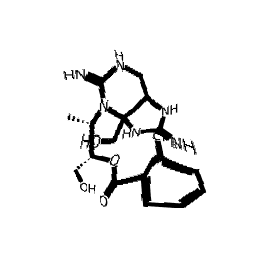 C[C@@H]([C@@H](CO)OC(=O)c1ccccc1C(F)(F)F)N1C(=N)NCC2NC(=N)NC21CO